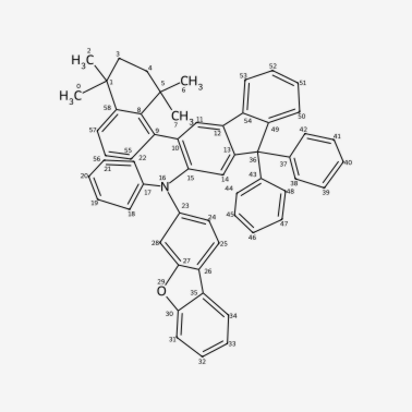 CC1(C)CCC(C)(C)c2c(-c3cc4c(cc3N(c3ccccc3)c3ccc5c(c3)oc3ccccc35)C(c3ccccc3)(c3ccccc3)c3ccccc3-4)cccc21